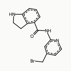 O=C(Nc1cc(CBr)ccn1)c1cccc2c1CCN2